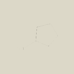 [CH2]C[CH]C1CCCC1